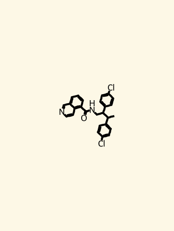 CC(c1ccc(Cl)cc1)C(CNC(=O)c1cccc2cnccc12)c1ccc(Cl)cc1